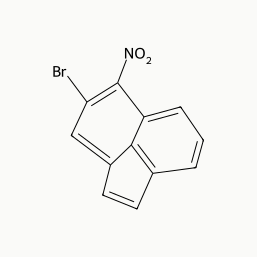 O=[N+]([O-])c1c(Br)cc2c3c(cccc13)C=C2